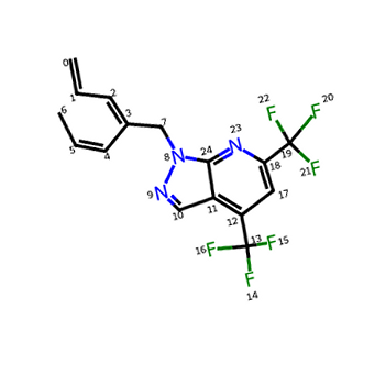 C=C/C=C(\C=C/C)Cn1ncc2c(C(F)(F)F)cc(C(F)(F)F)nc21